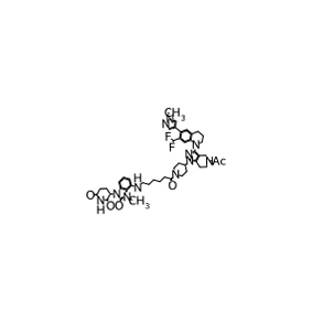 CC(=O)N1CCc2c(c(N3CCCc4cc(-c5cnn(C)c5)c(C(F)F)cc43)nn2C2CCN(C(=O)CCCCCNc3cccc4c3n(C)c(=O)n4C3CCC(=O)NC3=O)CC2)C1